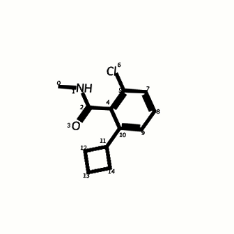 CNC(=O)c1c(Cl)cccc1C1CCC1